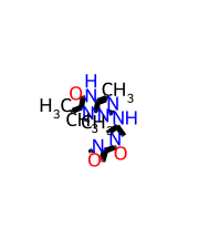 Cc1nc(NC2CN(C(=O)c3cocn3)C2)nc2c1NC(=O)C(C(C)C)N2C